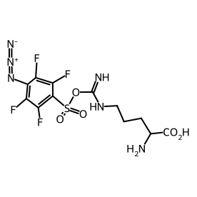 [N-]=[N+]=Nc1c(F)c(F)c(S(=O)(=O)OC(=N)NCCCC(N)C(=O)O)c(F)c1F